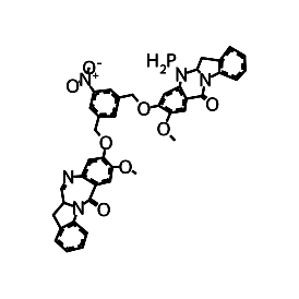 COc1cc2c(cc1OCc1cc(COc3cc4c(cc3OC)C(=O)N3c5ccccc5CC3N4P)cc([N+](=O)[O-])c1)N=CC1Cc3ccccc3N1C2=O